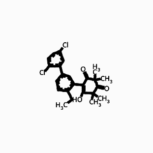 CCc1ccc(-c2cc(Cl)ccc2Cl)cc1C1=C(O)C(C)(C)C(=O)C(C)(C)C1=O